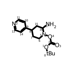 CC(C)(C)OC(=O)ON1CCC(c2ccncc2)CC1N